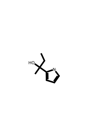 CCC(C)(O)C1=CC=C[N]1